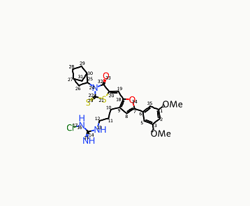 COc1cc(OC)cc(-c2cc(CCCNC(=N)NCl)c(/C=C3\SC(=S)N(C4CC5CCC4C5)C3=O)o2)c1